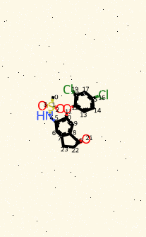 CS(=O)(=O)Nc1cc2c(cc1Oc1ccc(Cl)cc1Cl)C(=O)CC2